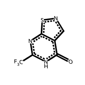 O=c1[nH]c(C(F)(F)F)nc2sncc12